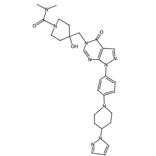 CN(C)C(=O)N1CCC(O)(Cn2cnc3c(cnn3-c3ccc(N4CCC(n5cccn5)CC4)cc3)c2=O)CC1